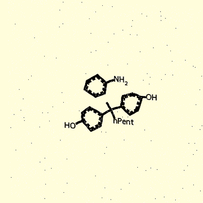 CCCCCC(C)(c1ccc(O)cc1)c1ccc(O)cc1.Nc1ccccc1